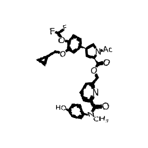 CC(=O)N1C[C@H](c2ccc(OC(F)F)c(OCC3CC3)c2)C[C@@H]1C(=O)OCc1cccc(C(=O)N(C)c2ccc(O)cc2)n1